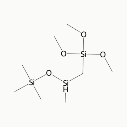 CO[Si](C[SiH](C)O[Si](C)(C)C)(OC)OC